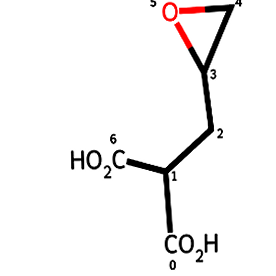 O=C(O)C(CC1CO1)C(=O)O